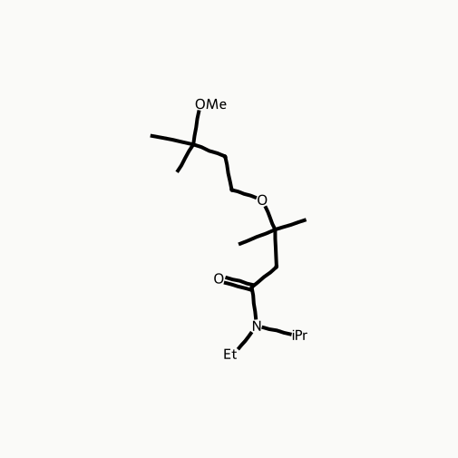 CCN(C(=O)CC(C)(C)OCCC(C)(C)OC)C(C)C